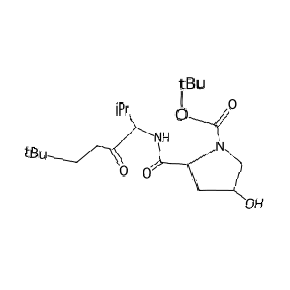 CC(C)C(NC(=O)C1CC(O)CN1C(=O)OC(C)(C)C)C(=O)CCC(C)(C)C